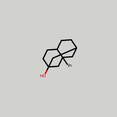 CC(C)C12CC3CCC1CCC(O)(C3)C2